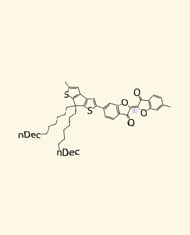 CCCCCCCCCCCCCCCCC1(CCCCCCCCCCCCCCCC)c2sc(C)cc2-c2cc(-c3ccc4c(c3)O/C(=C3/Oc5cc(C)ccc5C3=O)C4=O)sc21